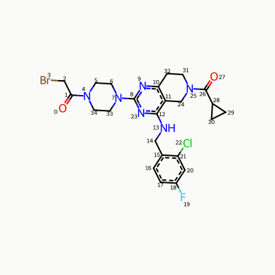 O=C(CBr)N1CCN(c2nc3c(c(NCc4ccc(F)cc4Cl)n2)CN(C(=O)C2CC2)CC3)CC1